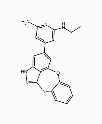 CCNc1cc(-c2cc3c4c(n[nH]c4c2)Nc2ccccc2O3)nc(N)n1